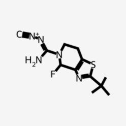 [C-]#[N+]/N=C(\N)N1CCc2sc(C(C)(C)C)nc2C1F